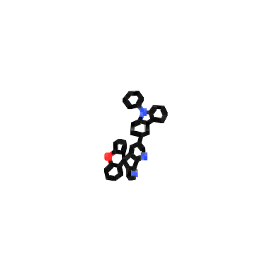 c1ccc(-n2c3ccccc3c3cc(-c4cnc5c(c4)C4(c6ccccc6Oc6ccccc64)c4cccnc4-5)ccc32)cc1